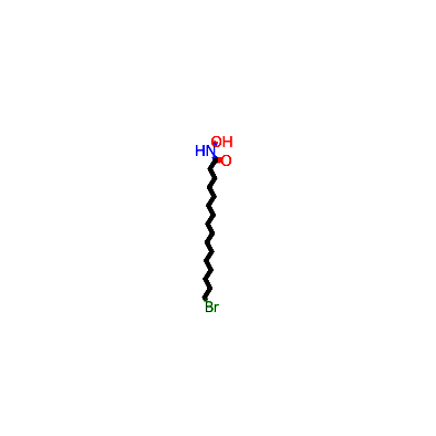 O=C(CCCCCCCCCCCCCCCBr)NO